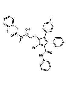 CC(C)c1c(C(=O)Nc2ccccc2)c(-c2ccccc2)c(-c2ccc(F)cc2)n1CC[C@@H](O)[C@@H](F)C(=O)Sc1ccccc1F